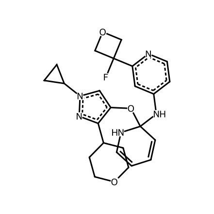 FC1(c2cc(NC3(Oc4cn(C5CC5)nc4C4CCOCC4)C=CC=CN3)ccn2)COC1